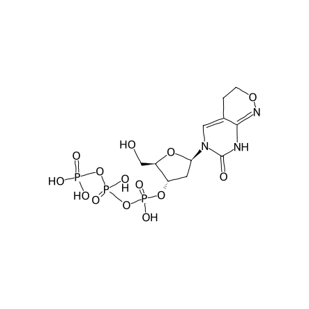 O=C1NC2=NOCCC2=CN1[C@H]1C[C@H](OP(=O)(O)OP(=O)(O)OP(=O)(O)O)[C@@H](CO)O1